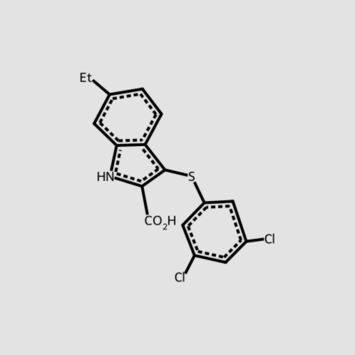 CCc1ccc2c(Sc3cc(Cl)cc(Cl)c3)c(C(=O)O)[nH]c2c1